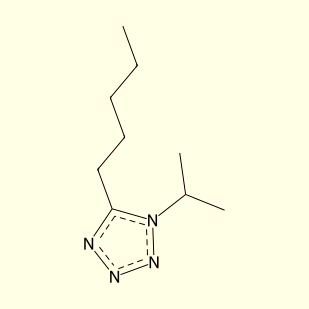 CCCCCc1nnnn1C(C)C